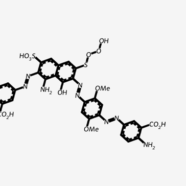 COc1cc(N=Nc2c(SOOO)cc3cc(S(=O)(=O)O)c(N=Nc4cccc(C(=O)O)c4)c(N)c3c2O)c(OC)cc1N=Nc1ccc(N)c(C(=O)O)c1